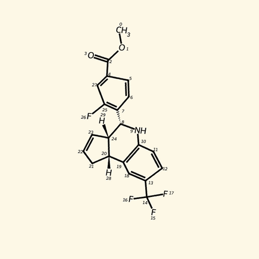 COC(=O)c1ccc([C@@H]2Nc3ccc(C(F)(F)F)cc3[C@@H]3CC=C[C@@H]32)c(F)c1